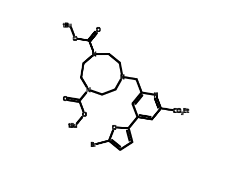 CCOC(=O)c1cc(-c2ccc(Br)o2)cc(CN2CCN(C(=O)OC(C)(C)C)CCN(C(=O)OC(C)(C)C)CC2)n1